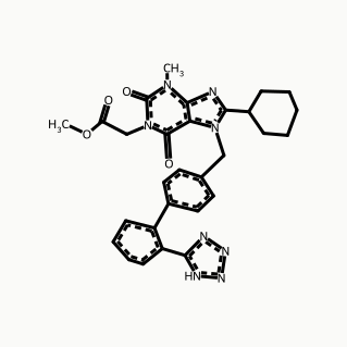 COC(=O)Cn1c(=O)c2c(nc(C3CCCCC3)n2Cc2ccc(-c3ccccc3-c3nnn[nH]3)cc2)n(C)c1=O